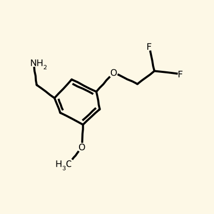 COc1cc(CN)cc(OCC(F)F)c1